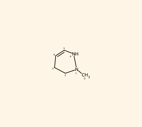 CN1CCC=CN1